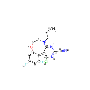 C=CCN1CCOc2cc(F)cc(F)c2-c2c(Cl)nc(C#N)nc21